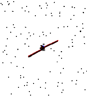 CCCCCCCCCCCCCCCCCCCCCCCC=CCCc1ccccc1N=C(CCCC)C(CCCC)=Nc1ccc(CCCCCCCCCCCCCCCCCCCCCCCCCCC)cc1.[Ni]